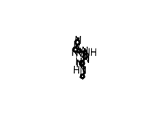 CN1CCN(c2ccnc3[nH]c(-c4n[nH]c5cnc(-c6cncc(CNCC7CCCC7)c6)cc45)cc23)CC1